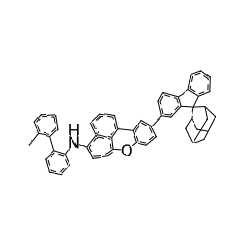 Cc1ccccc1-c1ccccc1Nc1ccc2c3c(cccc13)-c1cc(-c3ccc4c(c3)C3(c5ccccc5-4)C4CC5CC(C4)CC3C5)ccc1O2